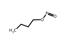 CCCCOP=O